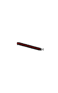 CCP(#P)N=NN=NN=NN=NN=NN=NN=NN=NN=NN=NN=NN=NN=NN=NN=NN=NN=NN=NN=NN=NN=NN=NN=NN=NN=NN=NN=NN=N